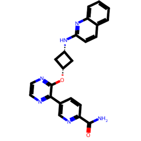 NC(=O)c1ccc(-c2nccnc2O[C@H]2C[C@@H](Nc3ccc4ccccc4n3)C2)cn1